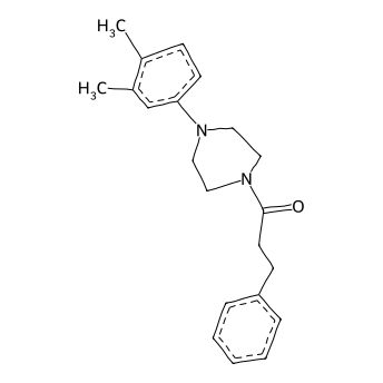 Cc1ccc(N2CCN(C(=O)CCc3ccccc3)CC2)cc1C